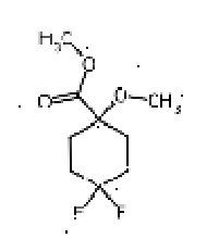 COC(=O)C1(OC)CCC(F)(F)CC1